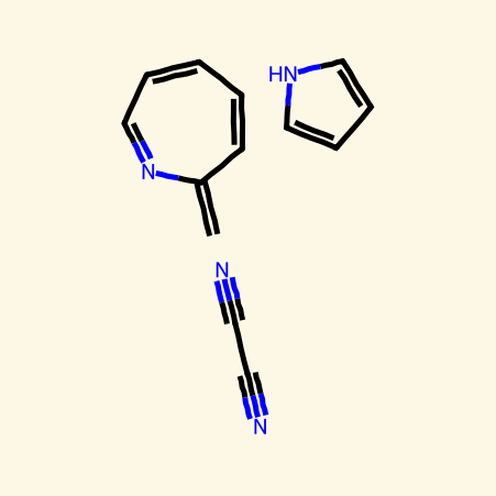 C=C1C=CC=CC=N1.N#CC#N.c1cc[nH]c1